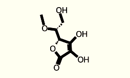 CO[C@H](CO)[C@H]1OC(=O)C(O)=C1O